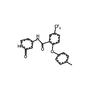 Cc1ccc(Oc2ccc(C(F)(F)F)cc2C(=O)Nc2cc[nH]c(=O)c2)cc1